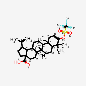 C=C(C)C1CCC2(C(=O)O)CCC3(C)C(CCC4C5(C)CC=C(OS(=O)(=O)C(F)(F)F)C(C)(C)C5CCC43C)C12